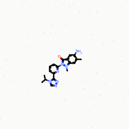 Cc1cc2c(cc1N)c(=O)n(-c1cccc(-c3nncn3C(C)C)n1)n2C